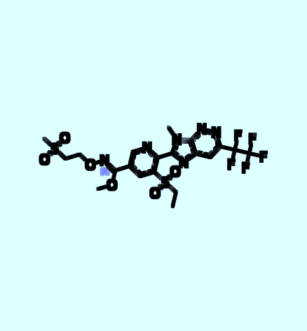 CCS(=O)(=O)c1cc(/C(=N/OCCS(C)(=O)=O)OC)cnc1-c1nc2cc(C(F)(F)C(F)(F)F)nnc2n1C